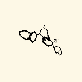 CN1Cc2c(ccc(N3CCOCC3)c2O)C(c2ccc3ccccc3c2)C1